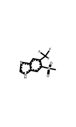 CS(=O)(=O)c1cc2[nH]cnc2cc1C(F)(F)F